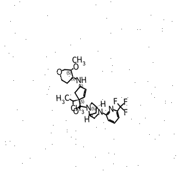 CO[C@@H]1COCC[C@@H]1N[C@@H]1C=C[C@@](C(=O)N2C[C@@H]3C[C@H]2CN3c2cccc(C(F)(F)F)n2)(C(C)C)C1